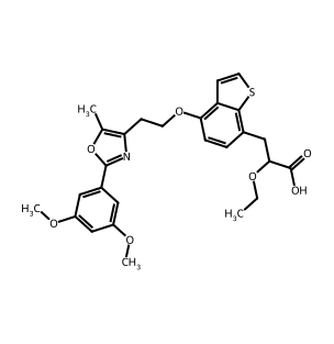 CCOC(Cc1ccc(OCCc2nc(-c3cc(OC)cc(OC)c3)oc2C)c2ccsc12)C(=O)O